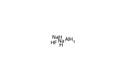 F.[AlH3].[NaH].[NaH]